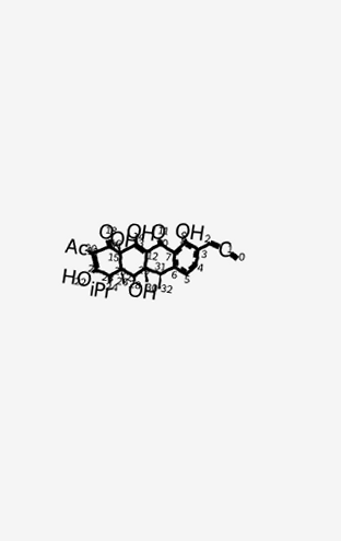 C=C=Cc1ccc2c(c1O)C(=O)C1=C(O)[C@@]3(O)C(=O)C(C(C)=O)=C(O)C(C(C)C)[C@@]3(C)[C@H](O)[C@@]1(C)[C@@H]2C